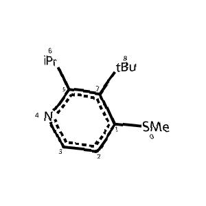 CSc1ccnc(C(C)C)c1C(C)(C)C